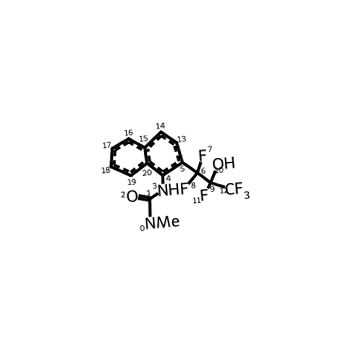 CNC(=O)Nc1c(C(F)(F)C(O)(F)C(F)(F)F)ccc2ccccc12